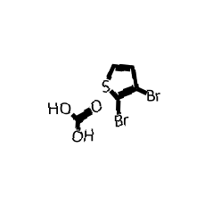 Brc1ccsc1Br.O=C(O)O